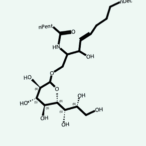 CCCCCCCCCCCCCC=CC(O)C(COC1O[C@H]([C@@H](O)[C@H](O)CO)[C@@H](O)[C@H](O)[C@H]1O)NC(=O)CCCCC